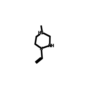 C=CN1CC[SH](C)CN1